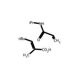 C=CC(=O)NC(C)C.CCCCC=C(C)C(=O)O